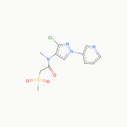 CN(C(=O)CS(C)(=O)=O)c1cn(-c2cccnc2)nc1Cl